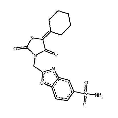 NS(=O)(=O)c1ccc2oc(CN3C(=O)SC(=C4CCCCC4)C3=O)nc2c1